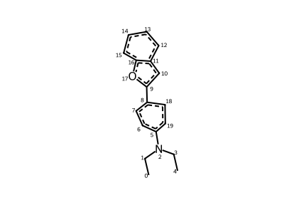 CCN(CC)c1ccc(-c2cc3ccccc3o2)cc1